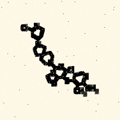 Cc1c(Sc2c(Cl)nc(N3CCC4(CCN(c5ccnc(Cl)c5)C4)CC3)n3ccnc23)ccnc1N